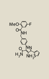 COc1ccc(F)cc1C(=O)NCc1ccc(-n2nc(-c3cccs3)c(N)c2C(N)=O)cc1